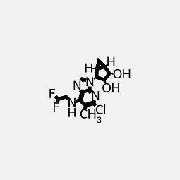 Cc1c(Cl)nc2c(ncn2[C@H]2[C@H](O)[C@H](O)[C@@H]3C[C@@H]32)c1NCC(F)F